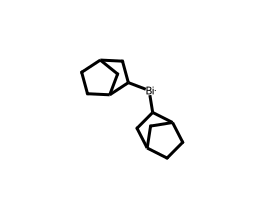 C1CC2CC1C[CH]2[Bi][CH]1CC2CCC1C2